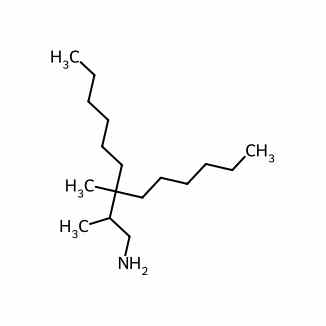 CCCCCCC(C)(CCCCCC)C(C)CN